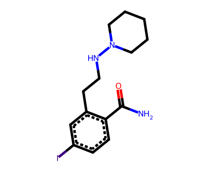 NC(=O)c1ccc(I)cc1CCNN1CCCCC1